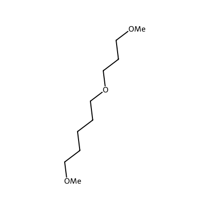 COCCCCCOCCCOC